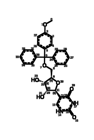 COc1ccc(C(OC[C@H]2O[C@@H](c3c[nH]c(=O)[nH]c3=O)[C@H](O)[C@@H]2O)(c2ccccc2)c2ccccc2)cc1